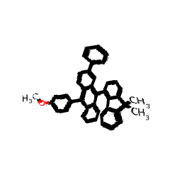 COc1ccc(-c2c3ccccc3c(-c3cccc4c3-c3ccccc3C4(C)C)c3cc(-c4ccccc4)ccc23)cc1